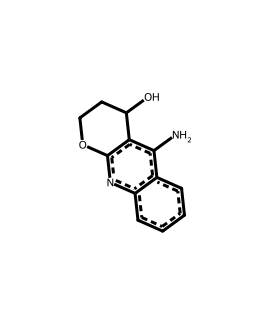 Nc1c2c(nc3ccccc13)OCCC2O